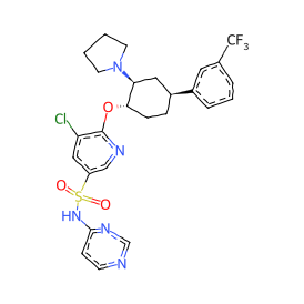 O=S(=O)(Nc1ccncn1)c1cnc(O[C@H]2CC[C@H](c3cccc(C(F)(F)F)c3)C[C@@H]2N2CCCC2)c(Cl)c1